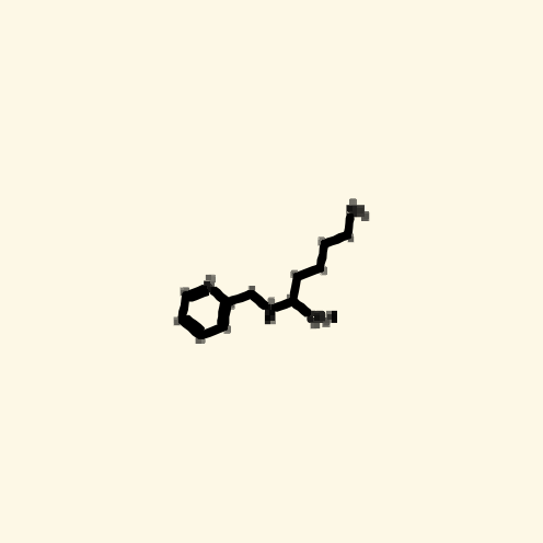 NCCCCC(NCc1ccccn1)C(=O)O